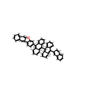 c1ccc2cc(-c3c4ccccc4c(-c4c5ccccc5c(-c5ccc6c(c5)oc5cc7ccccc7cc56)c5ccccc45)c4ccccc34)ccc2c1